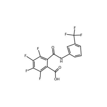 O=C(O)c1c(F)c(F)c(F)c(F)c1C(=O)Nc1cccc(C(F)(F)F)c1